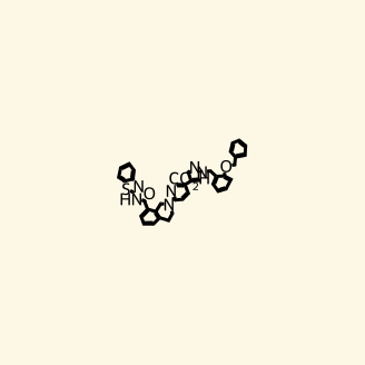 O=C(Nc1nc2ccccc2s1)c1cccc2c1CN(c1ccc(-c3cnn(Cc4ccccc4OCc4ccccc4)c3)c(C(=O)O)n1)CC2